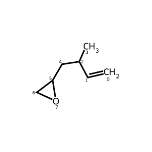 C=CC(C)CC1CO1